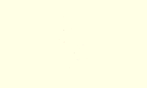 COc1ccc([C@H](N)CN2CCCC2C)cc1